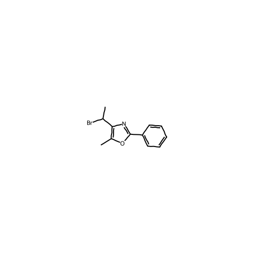 Cc1oc(-c2ccccc2)nc1C(C)Br